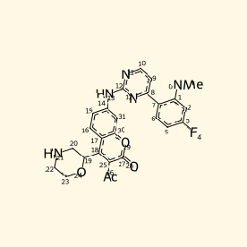 CNc1cc(F)ccc1-c1ccnc(Nc2ccc3c(C4CNCCO4)c(C(C)=O)c(=O)oc3c2)n1